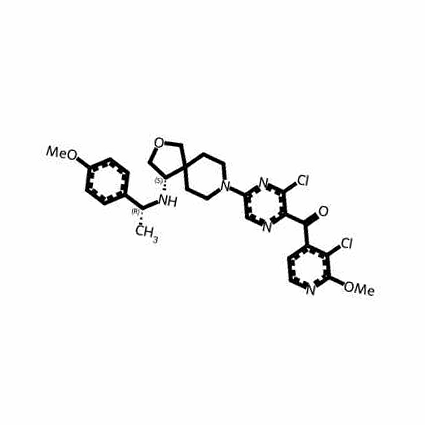 COc1ccc([C@@H](C)N[C@@H]2COCC23CCN(c2cnc(C(=O)c4ccnc(OC)c4Cl)c(Cl)n2)CC3)cc1